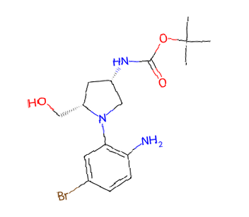 CC(C)(C)OC(=O)N[C@H]1C[C@@H](CO)N(c2cc(Br)ccc2N)C1